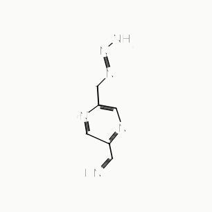 N=Cc1cnc(CN=NN)cn1